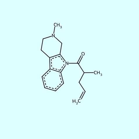 C=CCC(C)C(=O)n1c2c(c3ccccc31)CCN(C)C2